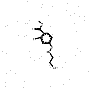 COC(=O)c1ccc(SNCCO)cc1F